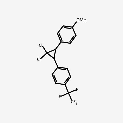 COc1ccc(C2C(c3ccc(C(F)(F)C(F)(F)F)cc3)C2(Cl)Cl)cc1